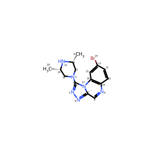 C[C@@H]1CN(c2nnc3cnc4ccc(Br)cc4n23)C[C@H](C)N1